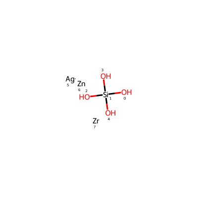 O[Si](O)(O)O.[Ag].[Zn].[Zr]